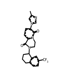 Cc1cn(-c2ccc3n(c2=O)CCN(C2CCCc4ccc(C(F)(F)F)cc42)C3=O)cn1